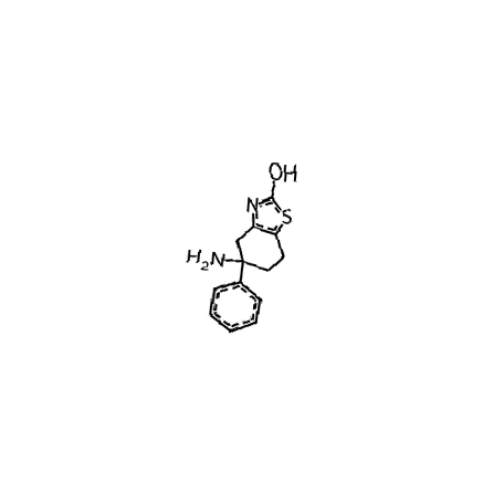 NC1(c2ccccc2)CCc2sc(O)nc2C1